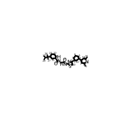 Cc1cc(-c2cccc(-c3csc(NC(=O)CNC(=O)c4cccc(C(C)(C)C(C)C)c4)n3)c2)cc(C)n1